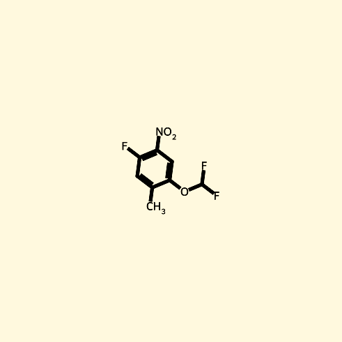 Cc1cc(F)c([N+](=O)[O-])cc1OC(F)F